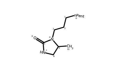 CCCCCCCCN1C(=O)NCC1C